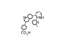 Cc1cccc(C2=C(c3ccc4ncc(-c5ccc(C(=O)O)cc5)cc4c3)C=CC=CN2)n1